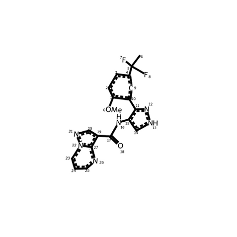 COc1ccc(C(C)(F)F)cc1-c1n[nH]cc1NC(=O)c1cnn2cccnc12